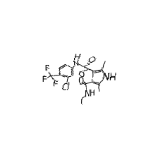 CCNC(=O)c1c(C)[nH]c(C)c1S(=O)(=O)Nc1ccc(C(F)(F)F)c(Cl)c1